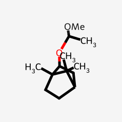 COC(C)OC1CC2CCC1(C)C2(C)C